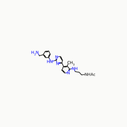 CC(=O)NCCCNc1nccc(-c2ccnc(Nc3cccc(CN)c3)n2)c1C